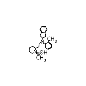 CB(O)N1CCCCC1CCN(c1ccccc1C)C1Cc2ccccc2C1